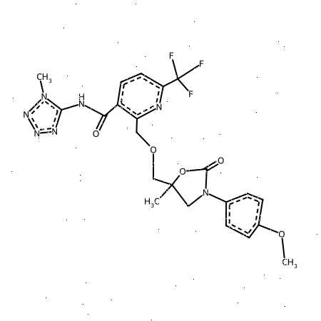 COc1ccc(N2CC(C)(COCc3nc(C(F)(F)F)ccc3C(=O)Nc3nnnn3C)OC2=O)cc1